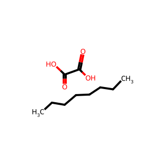 CCCCCCCC.O=C(O)C(=O)O